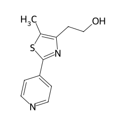 Cc1sc(-c2ccncc2)nc1CCO